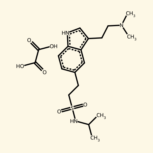 CC(C)NS(=O)(=O)CCc1ccc2[nH]cc(CCN(C)C)c2c1.O=C(O)C(=O)O